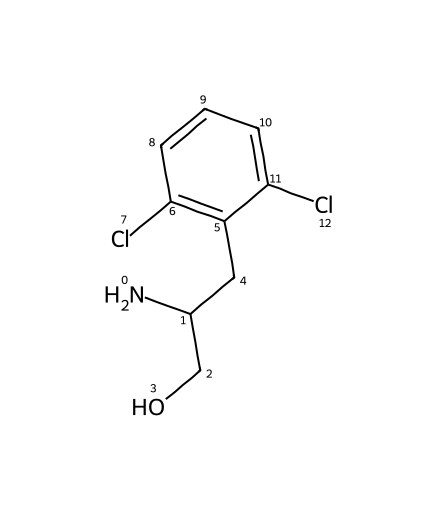 NC(CO)Cc1c(Cl)cccc1Cl